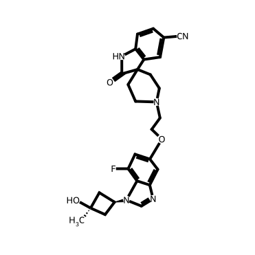 C[C@]1(O)C[C@@H](n2cnc3cc(OCCN4CCC5(CC4)C(=O)Nc4ccc(C#N)cc45)cc(F)c32)C1